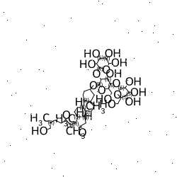 C[C@@H](CO)CCC(=O)[C@@H](C)[C@H]1C(=O)C[C@H]2[C@@H]3CC=C4CC(O[C@@H]5OC(CO)[C@@H](O[C@@H]6OC(CO)[C@@H](O)[C@H](O)C6O)[C@H](O)C5O[C@@H]5OC(O)[C@H](O)[C@H](O)C5O)CC[C@]4(C)[C@H]3CC[C@]12C